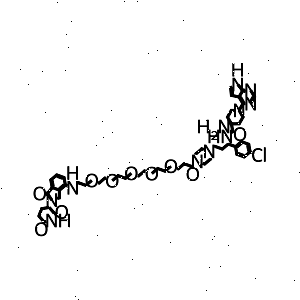 NC1(C(=O)NC(CCN2CCN(C(=O)CCOCCOCCOCCOCCOCCNc3cccc4c3CN(C3CCC(=O)NC3=O)C4=O)CC2)c2ccc(Cl)cc2)CCN(c2ncnc3[nH]ccc23)CC1